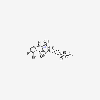 CC(C)OS(=O)(=O)N1CC(F)(CNc2nonc2/C(=N/O)Nc2ccc(F)c(Br)c2)C1